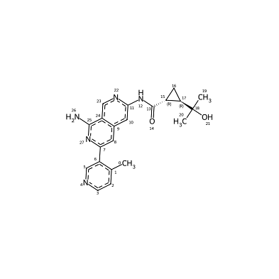 Cc1ccncc1-c1cc2cc(NC(=O)[C@@H]3C[C@H]3C(C)(C)O)ncc2c(N)n1